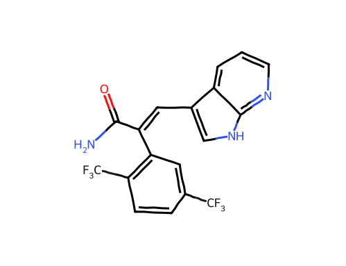 NC(=O)C(=Cc1c[nH]c2ncccc12)c1cc(C(F)(F)F)ccc1C(F)(F)F